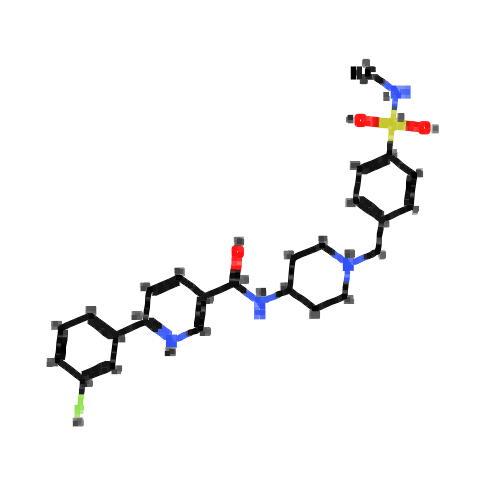 CNS(=O)(=O)c1ccc(CN2CCC(NC(=O)c3ccc(-c4cccc(F)c4)nc3)CC2)cc1